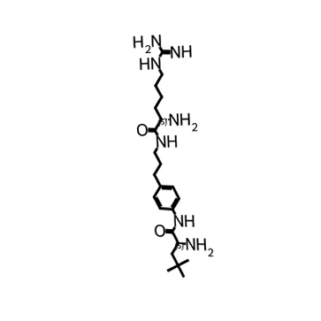 CC(C)(C)C[C@H](N)C(=O)Nc1ccc(CCCNC(=O)[C@@H](N)CCCCNC(=N)N)cc1